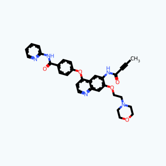 CC#CC(=O)Nc1cc2c(Oc3ccc(C(=O)Nc4ccccn4)cc3)ccnc2cc1OCCN1CCOCC1